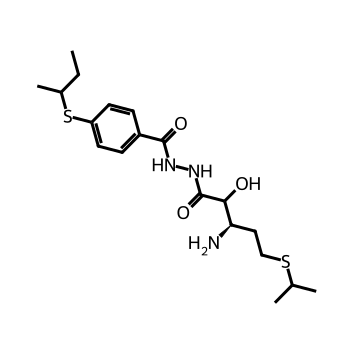 CCC(C)Sc1ccc(C(=O)NNC(=O)C(O)[C@H](N)CCSC(C)C)cc1